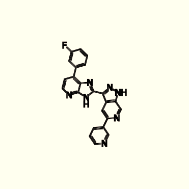 Fc1cccc(-c2ccnc3[nH]c(-c4n[nH]c5cnc(-c6cccnc6)cc45)nc23)c1